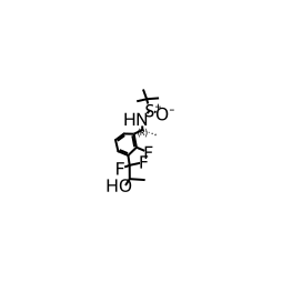 CC(O)C(F)(F)c1cccc([C@@H](C)N[S+]([O-])C(C)(C)C)c1F